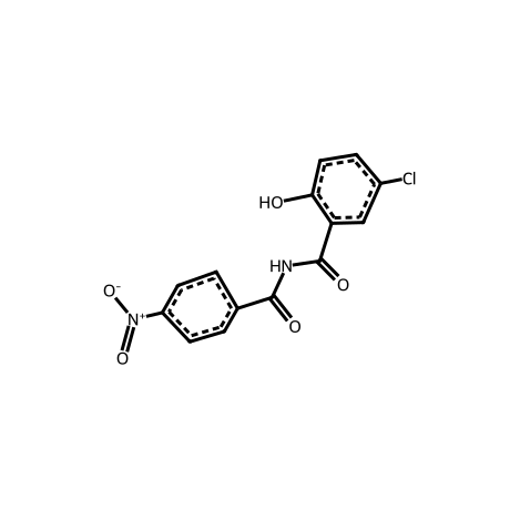 O=C(NC(=O)c1cc(Cl)ccc1O)c1ccc([N+](=O)[O-])cc1